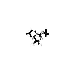 CC(C)C[C@@H](C(N)=O)N(C)C(=O)OC(C)(C)C